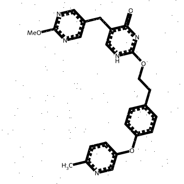 COc1ncc(Cc2c[nH]c(OCCc3ccc(Oc4ccc(C)nc4)cc3)nc2=O)cn1